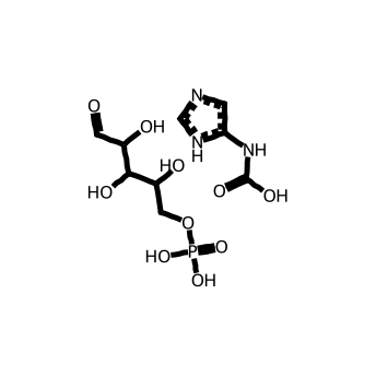 O=C(O)Nc1cnc[nH]1.O=CC(O)C(O)C(O)COP(=O)(O)O